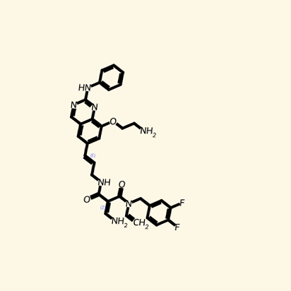 C=CN(Cc1ccc(F)c(F)c1)C(=O)/C(=C\N)C(=O)NC/C=C/c1cc(OCCN)c2nc(Nc3ccccc3)ncc2c1